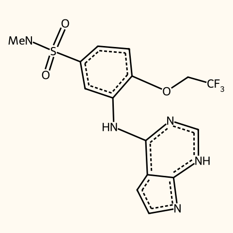 CNS(=O)(=O)c1ccc(OCC(F)(F)F)c(Nc2nc[nH]c3nccc2-3)c1